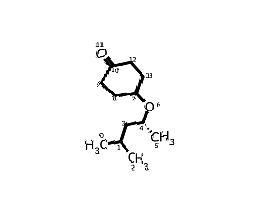 CC(C)C[C@@H](C)OC1CCC(=O)CC1